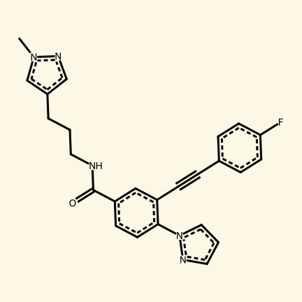 Cn1cc(CCCNC(=O)c2ccc(-n3cccn3)c(C#Cc3ccc(F)cc3)c2)cn1